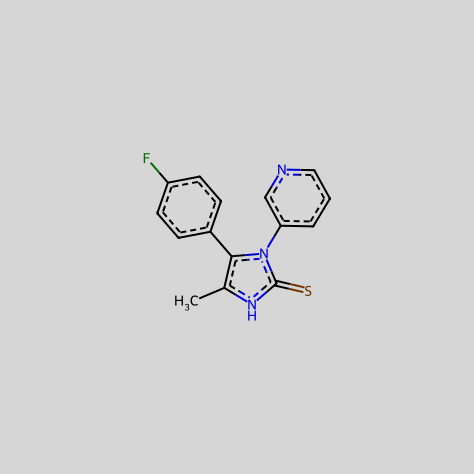 Cc1[nH]c(=S)n(-c2cccnc2)c1-c1ccc(F)cc1